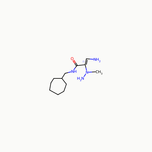 CN(N)/C(=C\N)C(=O)NCC1CCCCCC1